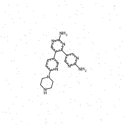 Nc1ncc(-c2nc(N)ncc2-c2ccc(N3CCNCC3)nc2)cn1